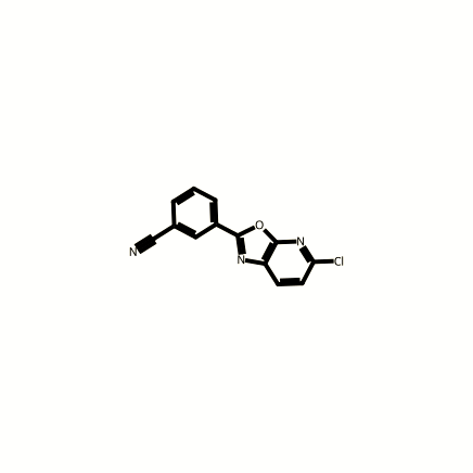 N#Cc1cccc(-c2nc3ccc(Cl)nc3o2)c1